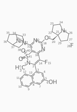 CN1C(c2cc(O)cc3ccccc23)=C(F)c2nc(OC[C@@]34CCCN3C[C@H](F)C4)nc(N3CC4CCC(C3)N4)c2S1(=O)=O